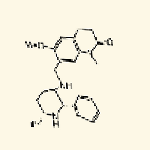 COc1cc2c(cc1CN[C@H]1CC[C@@H](C(C)C)N[C@H]1c1ccccc1)N(C)C(=O)CC2